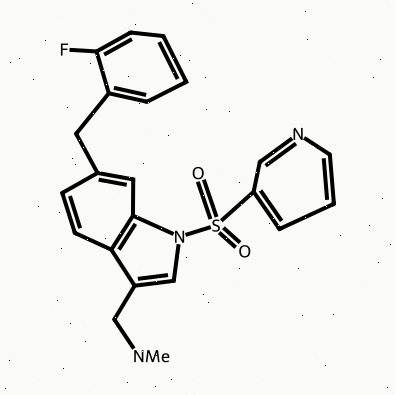 CNCc1cn(S(=O)(=O)c2cccnc2)c2cc(Cc3ccccc3F)ccc12